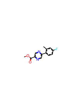 COC(=O)c1cnc(-c2ccc(F)cc2C)cn1